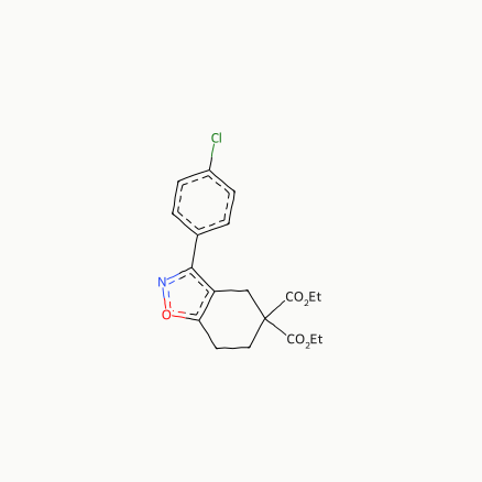 CCOC(=O)C1(C(=O)OCC)CCc2onc(-c3ccc(Cl)cc3)c2C1